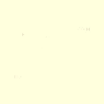 O=C(O)CCOC/C(F)=C\CO